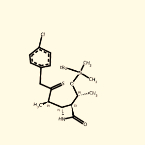 C[C@@H](O[Si](C)(C)C(C)(C)C)[C@H]1C(=O)N[C@@H]1[C@@H](C)C(=S)Cc1ccc(Cl)cc1